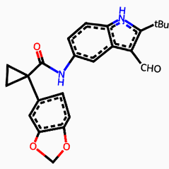 CC(C)(C)c1[nH]c2ccc(NC(=O)C3(c4ccc5c(c4)OCO5)CC3)cc2c1C=O